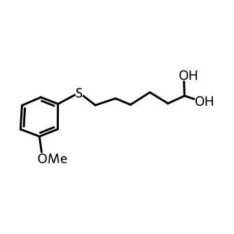 COc1cccc(SCCCCCC(O)O)c1